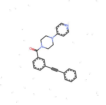 O=C(c1cccc(C#Cc2ccccc2)c1)N1CCN(c2ccncc2)CC1